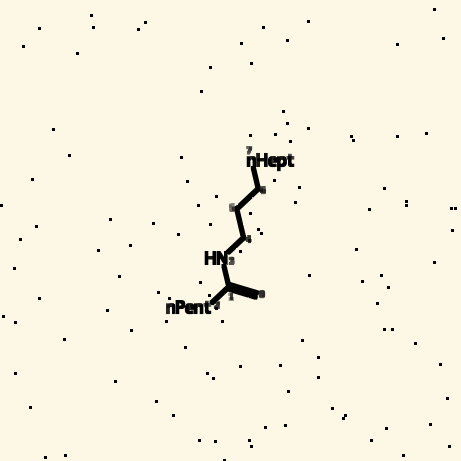 C=C(CCCCC)NCCCCCCCCCC